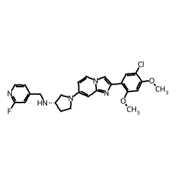 COc1cc(OC)c(-c2cn3ccc(N4CC[C@H](NCc5ccnc(F)c5)C4)cc3n2)cc1Cl